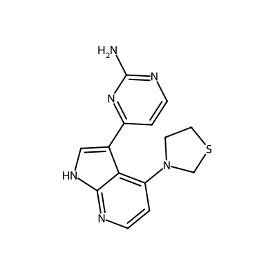 Nc1nccc(-c2c[nH]c3nccc(N4CCSC4)c23)n1